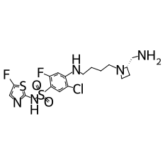 NC[C@@H]1CCN1CCCCNc1cc(F)c(S(=O)(=O)Nc2ncc(F)s2)cc1Cl